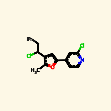 Cc1oc(-c2ccnc(Cl)c2)cc1C(Cl)CC(C)C